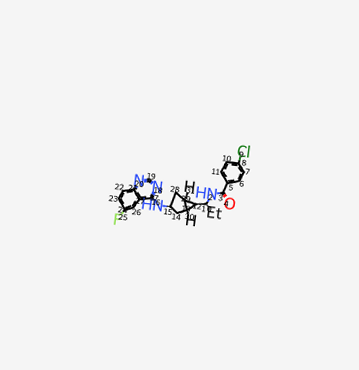 CC[C@@H](NC(=O)c1ccc(Cl)cc1)[C@H]1[C@@H]2C[C@@H](Nc3ncnc4ccc(F)cc34)C[C@@H]21